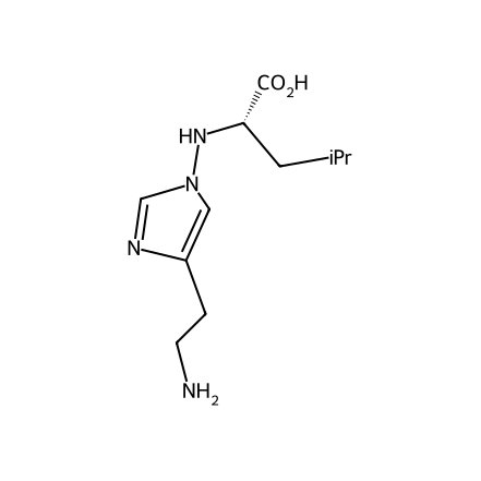 CC(C)C[C@H](Nn1cnc(CCN)c1)C(=O)O